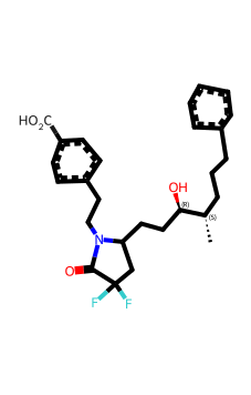 C[C@@H](CCCc1ccccc1)[C@H](O)CCC1CC(F)(F)C(=O)N1CCc1ccc(C(=O)O)cc1